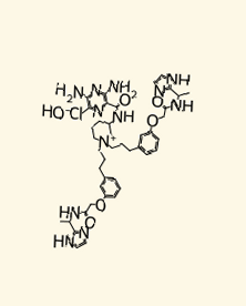 CC(NC(=O)COc1cccc(CCC[N+]2(CCCc3cccc(OCC(=O)NC(C)c4ncc[nH]4)c3)CCCC(NC(=O)c3nc(Cl)c(N)nc3N)C2)c1)c1ncc[nH]1.[OH-]